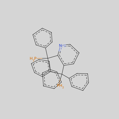 PC(c1ccccc1)(c1ccccc1)c1cccnc1C(P)(c1ccccc1)c1ccccc1